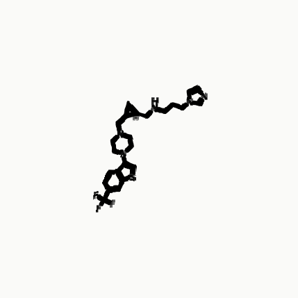 FC(F)(F)c1ccc2c(N3CCN(CC4C[C@H]4CNCCCn4ccnc4)CC3)csc2c1